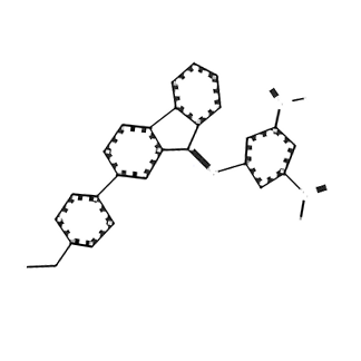 O=[N+]([O-])c1cc(/N=C2\c3ccccc3-c3ccc(-c4ccc(CO)cc4)cc32)cc([N+](=O)[O-])c1